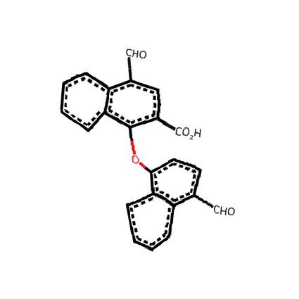 O=Cc1ccc(Oc2c(C(=O)O)cc(C=O)c3ccccc23)c2ccccc12